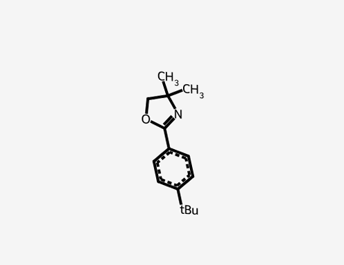 CC1(C)COC(c2ccc(C(C)(C)C)cc2)=N1